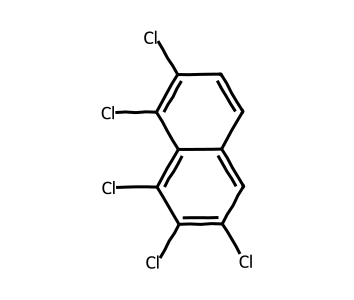 Clc1cc2ccc(Cl)c(Cl)c2c(Cl)c1Cl